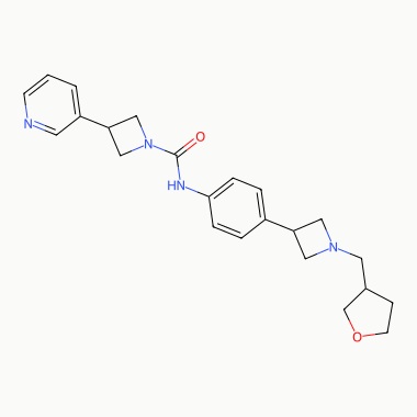 O=C(Nc1ccc(C2CN(CC3CCOC3)C2)cc1)N1CC(c2cccnc2)C1